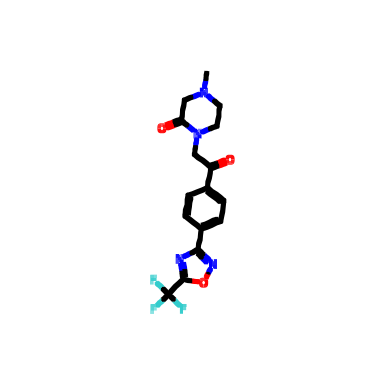 CN1CCN(CC(=O)c2ccc(-c3noc(C(F)(F)F)n3)cc2)C(=O)C1